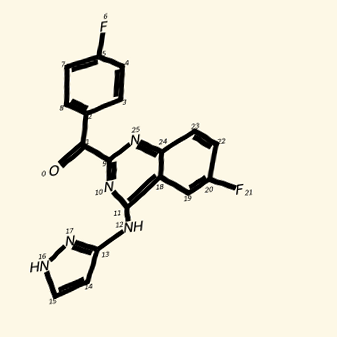 O=C(c1ccc(F)cc1)c1nc(Nc2cc[nH]n2)c2cc(F)ccc2n1